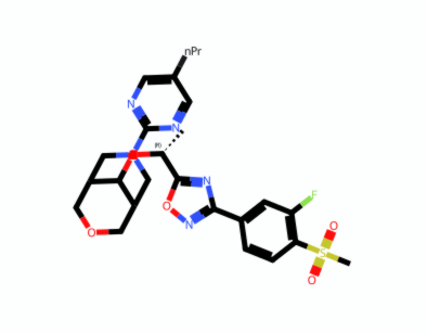 CCCc1cnc(N2CC3COCC(C2)C3O[C@H](C)c2nc(-c3ccc(S(C)(=O)=O)c(F)c3)no2)nc1